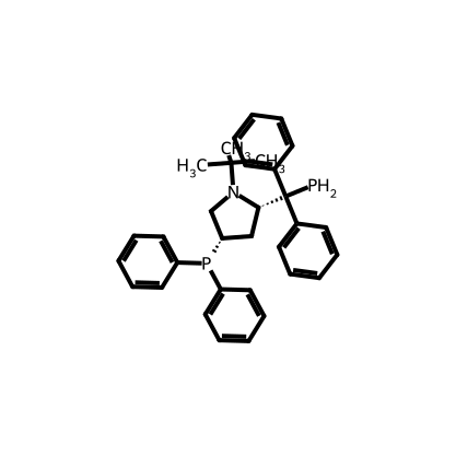 CC(C)(C)N1C[C@@H](P(c2ccccc2)c2ccccc2)C[C@H]1C(P)(c1ccccc1)c1ccccc1